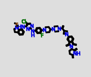 C=C1CCC(n2c(=C)c3ccc(N4CC(C(=C)N5CCN(C6CCN(c7ccc(Nc8ncc(Cl)c(Nc9cccc%10c9N(SC)CC%10)n8)cc7F)CC6)CC5)C4)cc3c2=C)C(=C)N1